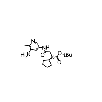 Cc1ncc(NC(=O)CN(C(=O)OC(C)(C)C)C2CCCC2)cc1N